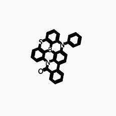 O=c1c2ccccc2c2ccc3c4c2n1-c1cccc2c1B4c1c(cccc1N3c1ccccc1)S2